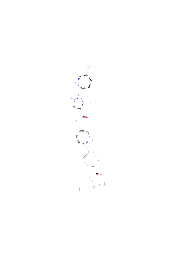 Cc1cc(NC(=O)c2cnn(-c3ccc(C(F)(F)F)cn3)c2C)cnc1C1=CCC(C(=O)NC(C)(C)C)CC1